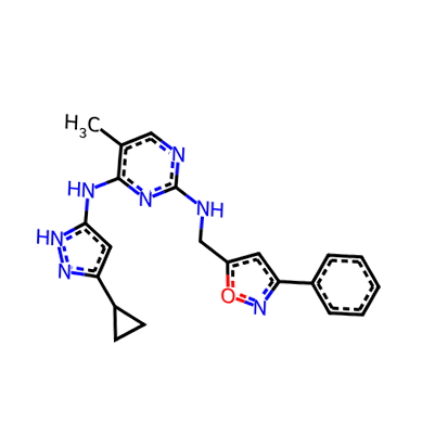 Cc1cnc(NCc2cc(-c3ccccc3)no2)nc1Nc1cc(C2CC2)n[nH]1